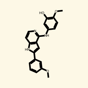 COc1cccc(-c2cc3c(Nc4ccc(OC)c(O)c4)nccc3[nH]2)c1